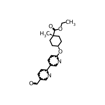 CCOC(=O)[C@]1(C)CC[C@@H](Oc2ccc(-c3ccc(C=O)cn3)cn2)CC1